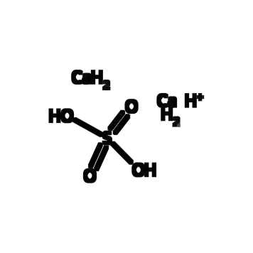 O=S(=O)(O)O.[CaH2].[CaH2].[H+]